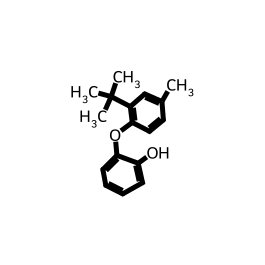 Cc1ccc(Oc2ccccc2O)c(C(C)(C)C)c1